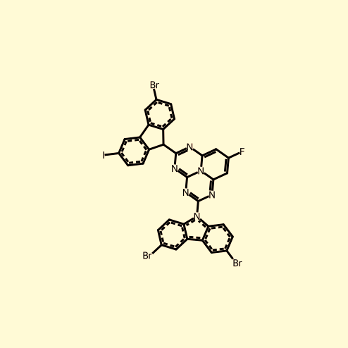 FC1=CC2=NC(n3c4ccc(Br)cc4c4cc(Br)ccc43)=NC3=NC(C4c5ccc(Br)cc5-c5cc(I)ccc54)=NC(=C1)N23